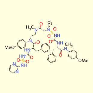 COc1ccc(N(C)C(=O)[C@H](Cc2ccccc2)NC(=O)NS(=O)(=O)N(C)CC(=O)N(C)CCN(C(=O)C(Cc2ccccc2)NC(=O)NS(=O)(=O)Nc2ncccn2)c2ccc(OC)cc2)cc1